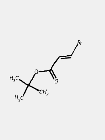 CC(C)(C)OC(=O)C=CBr